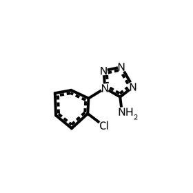 Nc1nnnn1-c1ccccc1Cl